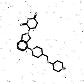 O=C1CCC(N2Cc3cccc(N4CCC(COC5CCNCC5)CC4)c3C2)C(=O)N1